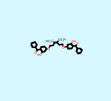 O=C(O)/C(CCOc1ccc(C(=O)c2ccccc2)c(O)c1)=C(/CCOc1ccc(C(=O)c2ccccc2)c(O)c1)C(=O)O